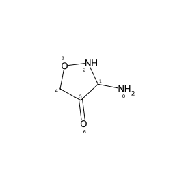 NC1NOCC1=O